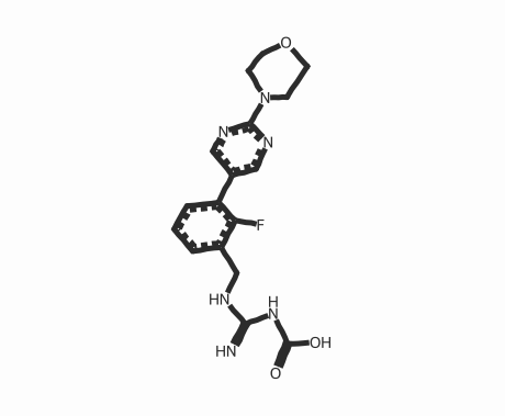 N=C(NCc1cccc(-c2cnc(N3CCOCC3)nc2)c1F)NC(=O)O